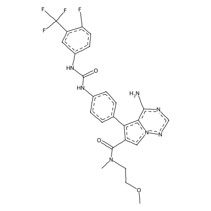 COCCN(C)C(=O)c1cn2ncnc(N)c2c1-c1ccc(NC(=O)Nc2ccc(F)c(C(F)(F)F)c2)cc1